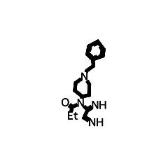 CCC(=O)N(C(=N)C=N)C1CCN(CCc2ccccc2)CC1